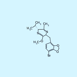 COC1=N[C@H](C(C)C)C(C)=NC1Cc1ccc(Br)c2c1OCO2